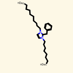 CCCCCCCCCCCCCCCCCCCN1C=CN(CCCCCCCCCCCCCCCCC)C1Cc1ccccc1